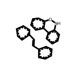 C(=Cc1ccccc1)c1ccccc1.c1ccc2c(c1)NOc1ccccc1-2